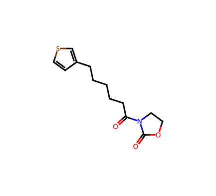 O=C(CCCCCc1ccsc1)N1CCOC1=O